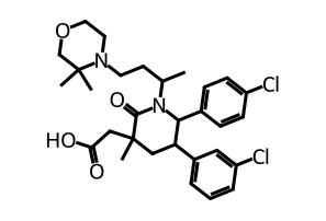 CC(CCN1CCOCC1(C)C)N1C(=O)C(C)(CC(=O)O)CC(c2cccc(Cl)c2)C1c1ccc(Cl)cc1